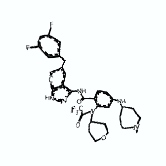 CN1CCC(Nc2ccc(C(=O)Nc3n[nH]c4ccc(Cc5cc(F)cc(F)c5)cc34)c(N(C(=O)C(F)(F)F)C3CCOCC3)c2)CC1